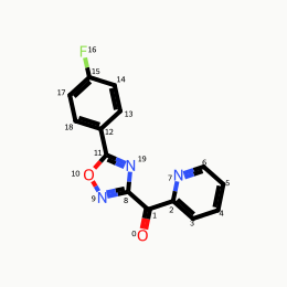 O=C(c1ccccn1)c1noc(-c2ccc(F)cc2)n1